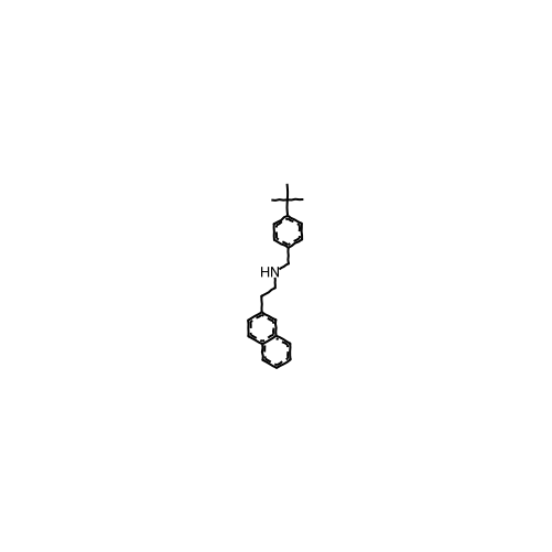 CC(C)(C)c1ccc(CNCCc2ccc3ccccc3c2)cc1